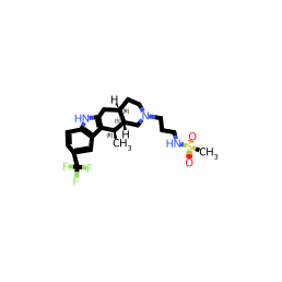 C[C@H]1c2c([nH]c3ccc(C(F)(F)F)cc23)C[C@H]2CCN(CCCNS(C)(=O)=O)C[C@@H]21